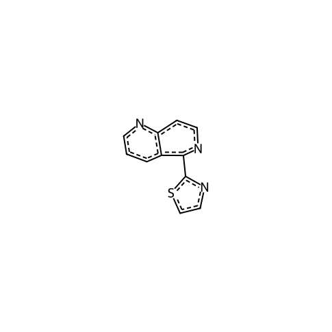 c1cnc2ccnc(-c3nccs3)c2c1